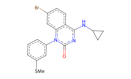 CSc1cccc(-n2c(=O)nc(NC3CC3)c3ccc(Br)cc32)c1